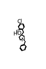 OC1(Cc2ccc(Cl)cc2F)CCN(Cc2ccccc2)C1